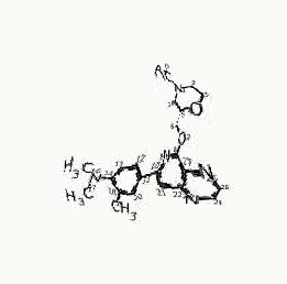 CC(=O)N1CCO[C@H](COc2nc(-c3ccc(N(C)C)c(C)c3)cc3nccnc23)C1